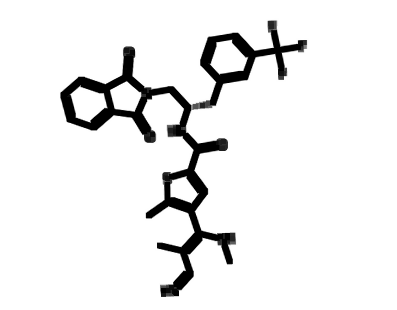 CN/C(=C(/C)C=N)c1cc(C(=O)N[C@@H](Cc2cccc(C(F)(F)F)c2)CN2C(=O)c3ccccc3C2=O)sc1C